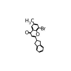 Cc1cc(Br)c2oc(C3Cc4ccccc4C3)cc(=O)c2c1